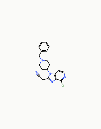 N#CCc1nc2c(Cl)nccc2n1C1CCN(Cc2ccccc2)CC1